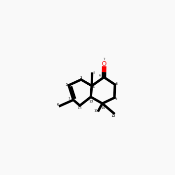 CC1=CCC2(C)C(=O)CCC(C)(C)C2C1